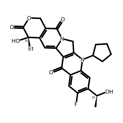 CC[C@@]1(O)C(=O)OCc2c1cc1n(c2=O)Cc2c-1c(=O)c1cc(F)c([C@H](C)O)cc1n2C1CCCC1